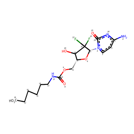 Nc1ccn([C@@H]2O[C@H](COC(=O)NCCCCCC(=O)O)C(O)C2(F)F)c(=O)n1